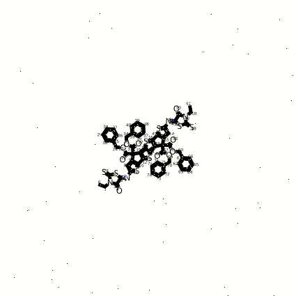 CCN1C(=O)/C(=N/c2cc3c(s2)-c2sc4c5c(sc4c2C3(C(=O)OCc2ccccc2)C(=O)OCc2ccccc2)-c2sc(/N=C3\SC(=S)N(CC)C3=O)cc2C5(C(=O)OCc2ccccc2)C(=O)OCc2ccccc2)SC1=S